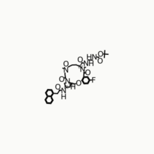 CN1CC(=O)N2C[C@@H](NC(=O)Cc3cccc4ccccc34)C[C@H]2COc2ccc(F)cc2C(=O)N(C)[C@H](C(=O)NCCNC(=O)OC(C)(C)C)CCC1=O